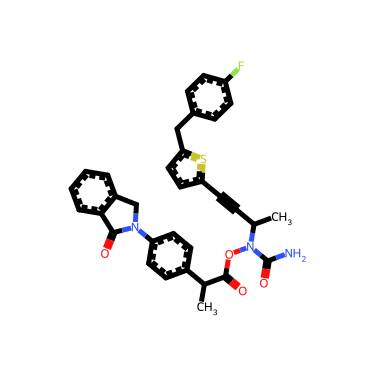 CC(C(=O)ON(C(N)=O)C(C)C#Cc1ccc(Cc2ccc(F)cc2)s1)c1ccc(N2Cc3ccccc3C2=O)cc1